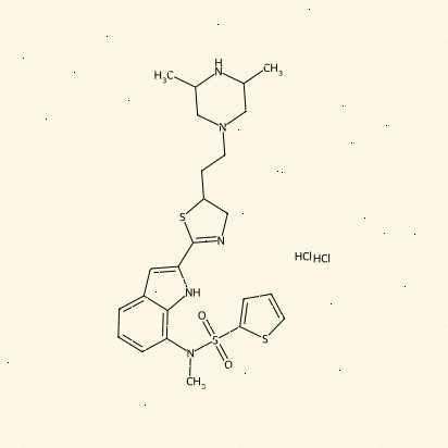 CC1CN(CCC2CN=C(c3cc4cccc(N(C)S(=O)(=O)c5cccs5)c4[nH]3)S2)CC(C)N1.Cl.Cl